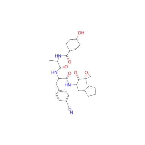 CC(NC(=O)C1CCC(O)CC1)C(=O)NC(Cc1ccc(C#N)cc1)C(=O)NC(CC1CCCC1)C(=O)C1(C)CO1